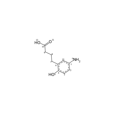 Nc1ccc(O)c(CCCC(=O)O)c1